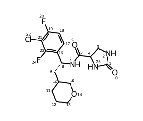 O=C1NCC(C(=O)N[C@H](CC2CCCOC2)c2ccc(F)c(Cl)c2F)N1